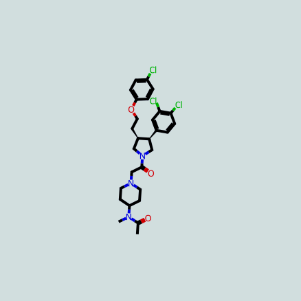 CC(=O)N(C)C1CCN(CC(=O)N2C[C@@H](CCOc3ccc(Cl)cc3)[C@@H](c3ccc(Cl)c(Cl)c3)C2)CC1